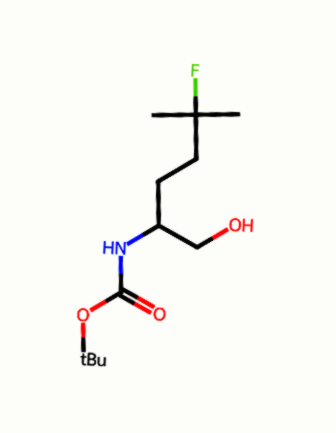 CC(C)(F)CCC(CO)NC(=O)OC(C)(C)C